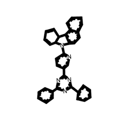 C1=CC2c3c(ccc4ccccc34)N(c3ccc(-c4nc(-c5ccccc5)nc(-c5ccccc5)n4)cn3)C2C=C1